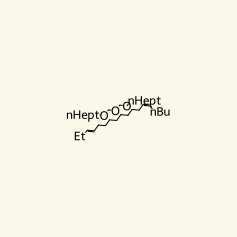 CC/C=C/CCCCCCCC/C=C\CCCC.CCCCCCCOCOCOCCCCCCC